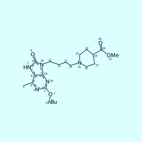 CCCCOc1nc(C)c2[nH]c(=O)n(CCCCN3CCC(C(=O)OC)CC3)c2n1